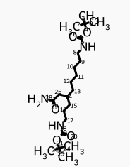 CC(C)(C)OC(=O)NCCCCCCC(CCCNC(=O)OC(C)(C)C)CC(N)=O